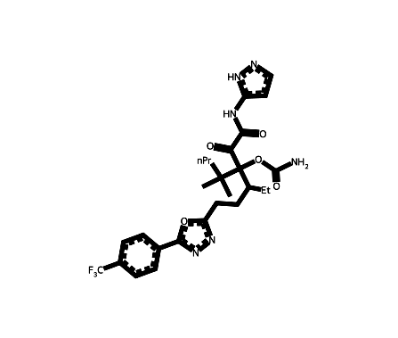 CCCC(C)(C)C(OC(N)=O)(C(=O)C(=O)Nc1ccn[nH]1)C(CC)CCc1nnc(-c2ccc(C(F)(F)F)cc2)o1